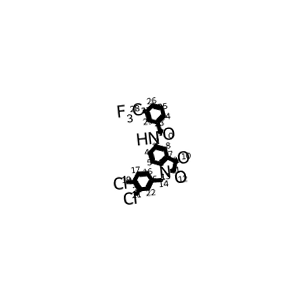 O=C(Nc1ccc2c(c1)C(=O)C(=O)N2Cc1ccc(Cl)c(Cl)c1)c1cccc(C(F)(F)F)c1